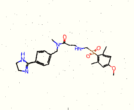 COc1cc(C)c(S(=O)(=O)CNCCC(=O)N(C)Cc2ccc(C3=NCCN3)cc2)c(C)c1